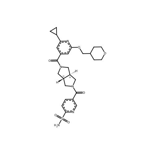 NS(=O)(=O)c1ccc(C(=O)N2C[C@@H]3CN(C(=O)c4cc(OCC5CCOCC5)nc(C5CC5)c4)C[C@H]3C2)cn1